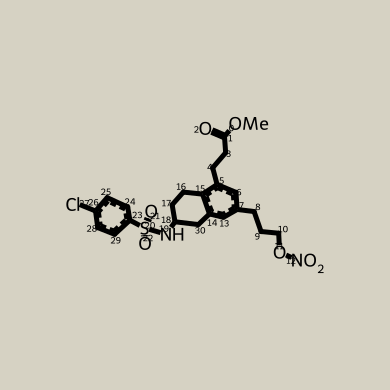 COC(=O)CCc1cc(CCCO[N+](=O)[O-])cc2c1CCC(NS(=O)(=O)c1ccc(Cl)cc1)C2